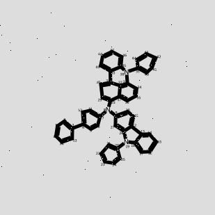 c1ccc(-c2ccc(N(c3ccc4c5ccccc5n(-c5ccccc5)c4c3)c3ccc4c5c(cccc35)N(c3ccccc3)c3ccccc3-4)cc2)cc1